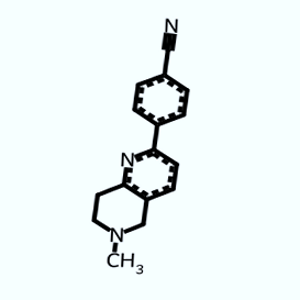 CN1CCc2nc(-c3ccc(C#N)cc3)ccc2C1